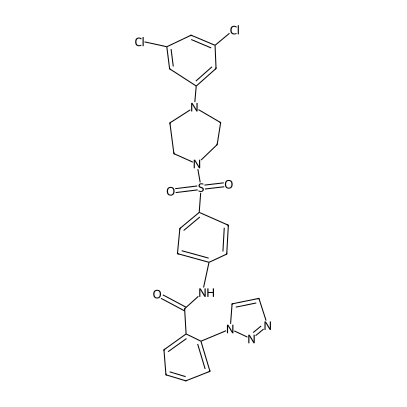 O=C(Nc1ccc(S(=O)(=O)N2CCN(c3cc(Cl)cc(Cl)c3)CC2)cc1)c1ccccc1-n1ccnn1